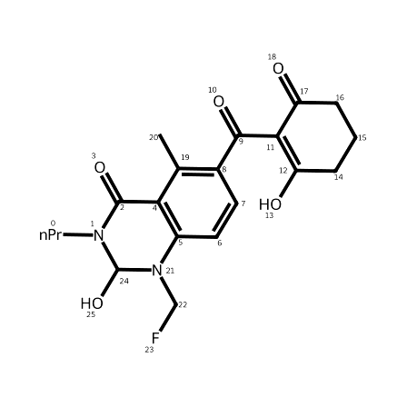 CCCN1C(=O)c2c(ccc(C(=O)C3=C(O)CCCC3=O)c2C)N(CF)C1O